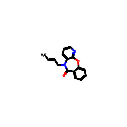 CC=CCN1C(=O)c2ccccc2Oc2ncccc21